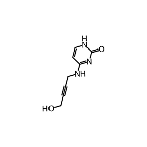 O=c1nc(NCC#CCO)cc[nH]1